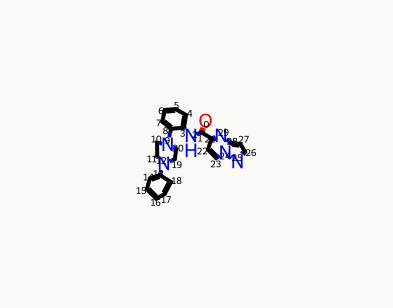 O=C(Nc1ccccc1N1CCN(c2ccccc2)CC1)c1ccn2nccc2n1